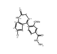 COc1cc(C(=O)NN)ccc1C1=NCC(=O)Nc2ccc(Cl)cc21